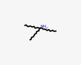 CCCCCCCCC(N)=C(CCCCCCCC)CCCCCCCC